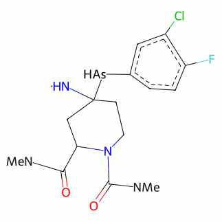 CNC(=O)C1CC([NH])([AsH]c2ccc(F)c(Cl)c2)CCN1C(=O)NC